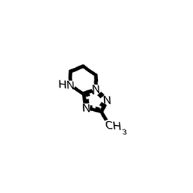 Cc1nc2n(n1)CCCN2